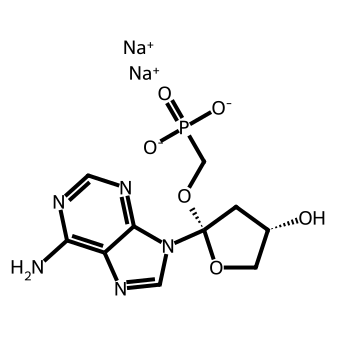 Nc1ncnc2c1ncn2[C@@]1(OCP(=O)([O-])[O-])C[C@H](O)CO1.[Na+].[Na+]